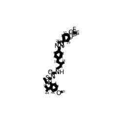 COc1ccc(N2CCS/C2=N\C(=O)NCCC(C)Cc2ccc(-c3ncn(-c4ccc(OC(F)(F)F)cc4)n3)cc2)c(C(C)C)c1